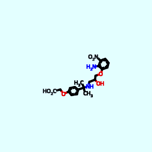 CC(C)(NCC(O)COc1cccc([N+](=O)[O-])c1N)c1ccc(OCC(=O)O)cc1